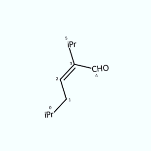 CC(C)C/C=C(\C=O)C(C)C